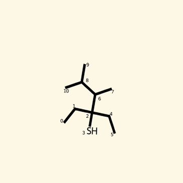 CCC(S)(CC)C(C)C(C)C